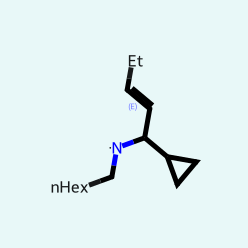 CC/C=C/C([N]CCCCCCC)C1CC1